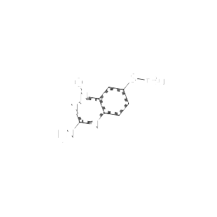 CC(C)(C)Sc1ccc2nc(N)n[n+]([O-])c2c1